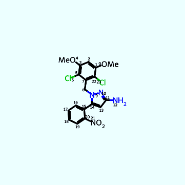 COc1cc(OC)c(Cl)c(Cn2nc(N)cc2-c2ccccc2[N+](=O)[O-])c1Cl